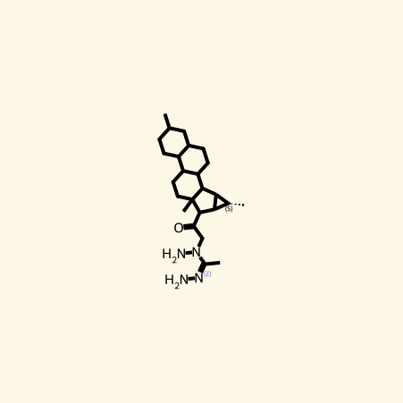 C/C(=N/N)N(N)CC(=O)C1C2C(C3C4CCC5CC(C)CCC5C4CCC13C)[C@@H]2C